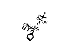 CC#N.CC#N.CC#N.O=S(=O)(O)C(F)(F)F.[CH3][Ru]([CH3])([CH3])([CH3])([CH3])[C]1=CC=CC1